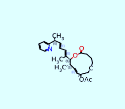 CC(=O)O[C@H]1/C=C/[C@H](C)[C@@H](/C(C)=C/C=C/[C@H](C)c2ccccn2)OC(=O)CCCCC1